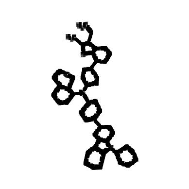 C=Cc1c(C)oc2c(-c3ccc(N(c4ccc(-c5ccc6c(c5)c5ccccc5n6-c5ccccc5)cc4)c4cccc5ccccc45)cc3)cccc12